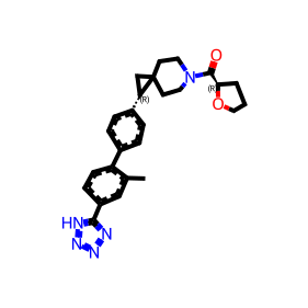 Cc1cc(-c2nnn[nH]2)ccc1-c1ccc([C@@H]2CC23CCN(C(=O)[C@H]2CCCO2)CC3)cc1